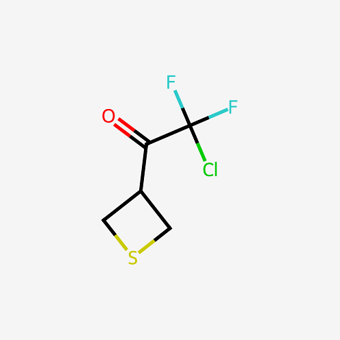 O=C(C1CSC1)C(F)(F)Cl